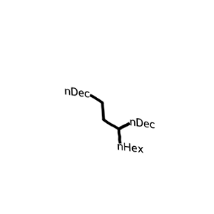 [CH2]CCCCCC(CCCCCCCCCC)CCCCCCCCCCCC